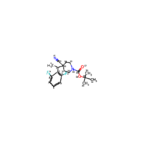 CC(c1c(F)cccc1F)C1(C#N)CCN(C(=O)OC(C)(C)C)CC1